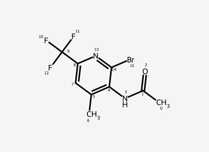 CC(=O)Nc1c(C)cc(C(F)(F)F)nc1Br